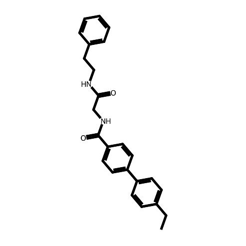 CCc1ccc(-c2ccc(C(=O)NCC(=O)NCCc3ccccc3)cc2)cc1